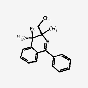 CCC1(C)c2ccccc2C(c2ccccc2)=NC1(C)CC(F)(F)F